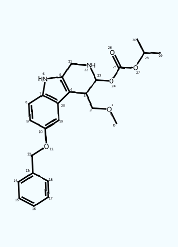 COCC1c2c([nH]c3ccc(OCc4ccccc4)cc23)CNC1OC(=O)OC(C)C